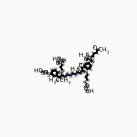 CC(=O)CCCN(C)S(=O)(=O)c1ccc2c(c1)C(C)(C)\C(=C/C=C/C=C/C=C/C1=[N+](CCCS(=O)(=O)O)c3ccc(SOOO)cc3C1(C)C)N2CCCSOOO